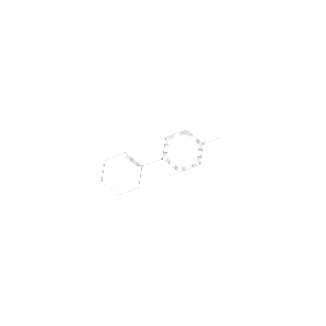 Cc1ccc(C2=CCCCC2)cc1